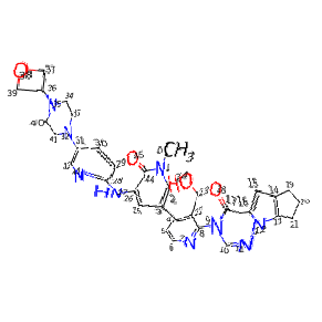 Cn1cc(-c2ccnc(-n3cnn4c5c(cc4c3=O)CCC5)c2CO)cc(Nc2ccc(N3CCN(C4COC4)CC3)cn2)c1=O